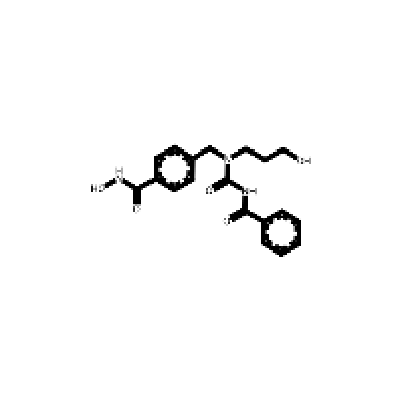 O=C(NO)c1ccc(CN(CCCO)C(=O)NC(=O)c2ccccc2)cc1